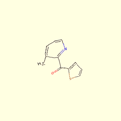 Cc1cccnc1C(=O)c1cccs1